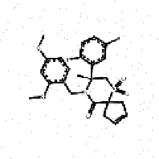 COc1ccc(CN2C(=O)C3(CC=CC3)S(=O)(=O)C[C@@]2(C)c2cc(Br)ccc2F)c(OC)c1